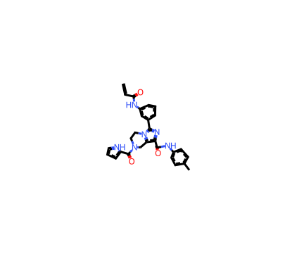 C=CC(=O)Nc1cccc(-c2nc(C(=O)Nc3ccc(C)cc3)c3n2CCN(C(=O)c2ccc[nH]2)C3)c1